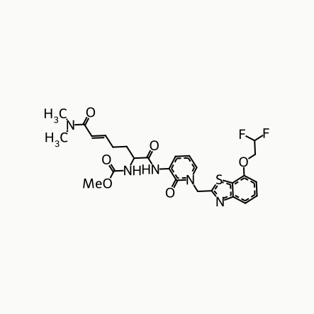 COC(=O)NC(CCC=CC(=O)N(C)C)C(=O)Nc1cccn(Cc2nc3cccc(OCC(F)F)c3s2)c1=O